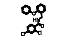 O=C(NCc1ccccc1Oc1ccccc1)c1ccc(Cl)cc1Cl